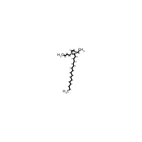 CCCCCCCCCCCCCCCCC1N(CC)C=CN1CCCC